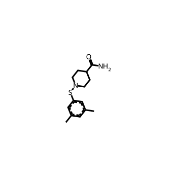 Cc1cc(C)cc(SN2CCC(C(N)=O)CC2)c1